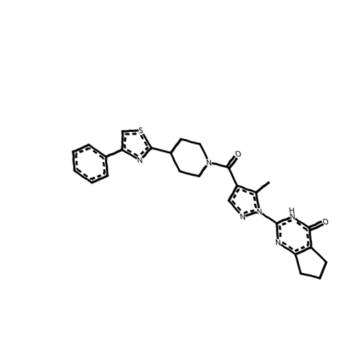 Cc1c(C(=O)N2CCC(c3nc(-c4ccccc4)cs3)CC2)cnn1-c1nc2c(c(=O)[nH]1)CCC2